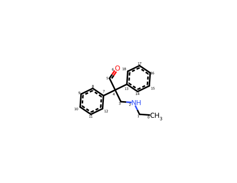 CCNCC(C=O)(c1ccccc1)c1ccccc1